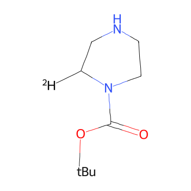 [2H]C1CNCCN1C(=O)OC(C)(C)C